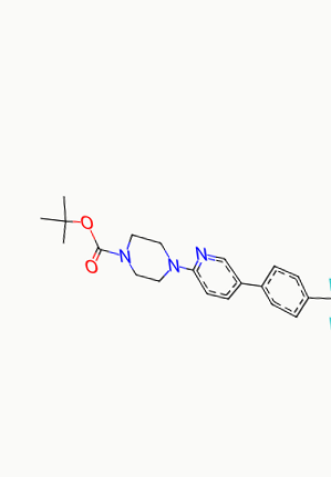 CC(C)(C)OC(=O)N1CCN(c2ccc(-c3ccc(C(F)(F)F)cc3)cn2)CC1